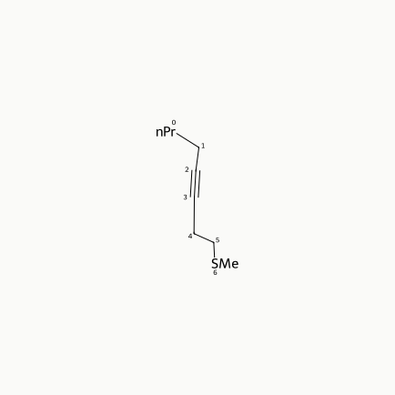 [CH2]CCCC#CCCSC